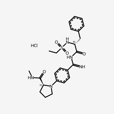 CCS(=O)(=O)N[C@H](Cc1ccccc1)C(=O)NC(=N)c1ccc(N2CCC[C@H]2C(=O)NC)cc1.Cl